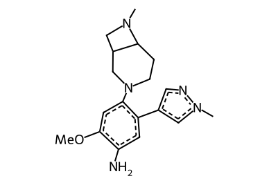 COc1cc(N2CCC3C(C2)CN3C)c(-c2cnn(C)c2)cc1N